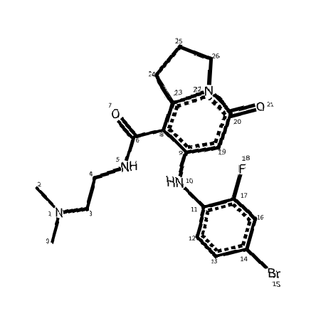 CN(C)CCNC(=O)c1c(Nc2ccc(Br)cc2F)cc(=O)n2c1CCC2